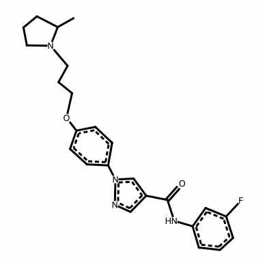 CC1CCCN1CCCOc1ccc(-n2cc(C(=O)Nc3cccc(F)c3)cn2)cc1